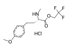 CN[C@@H](CCc1ccc(OC)cc1)C(=O)OCC(F)(F)F.Cl